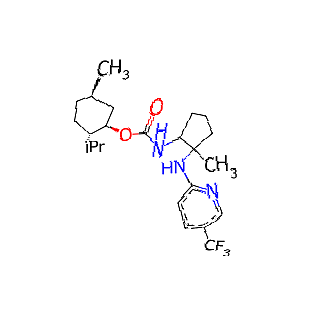 CC(C)[C@@H]1CC[C@@H](C)C[C@H]1OC(=O)NC1CCCC1(C)Nc1ccc(C(F)(F)F)cn1